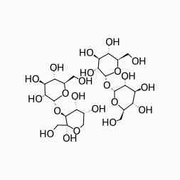 OC[C@H]1O[C@H](O[C@H]2O[C@H](CO)[C@@H](O)[C@H](O)[C@H]2O)[C@H](O)[C@@H](O)[C@@H]1O.OC[C@H]1O[C@H](O[C@H]2[C@H](O)[C@H](O)CO[C@@]2(O)CO)[C@H](O)[C@@H](O)[C@@H]1O